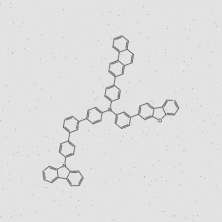 c1cc(-c2ccc(N(c3ccc(-c4ccc5c(ccc6ccccc65)c4)cc3)c3cccc(-c4ccc5c(c4)oc4ccccc45)c3)cc2)cc(-c2ccc(-n3c4ccccc4c4ccccc43)cc2)c1